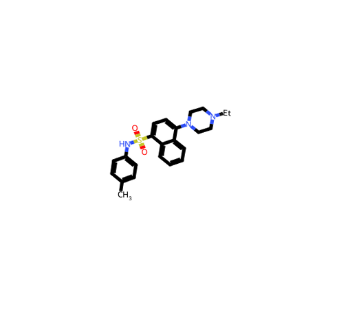 CCN1CCN(c2ccc(S(=O)(=O)Nc3ccc(C)cc3)c3ccccc23)CC1